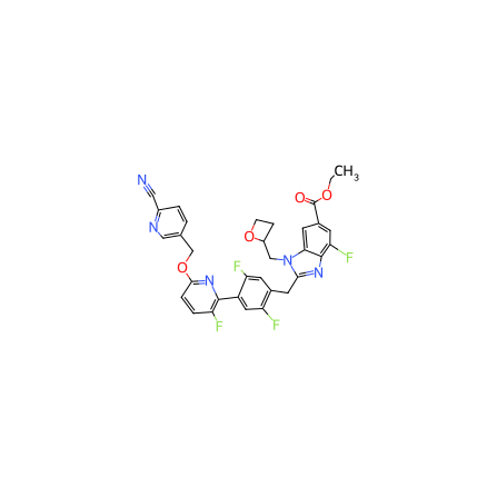 CCOC(=O)c1cc(F)c2nc(Cc3cc(F)c(-c4nc(OCc5ccc(C#N)nc5)ccc4F)cc3F)n(CC3CCO3)c2c1